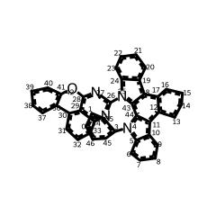 c1ccc(-n2c3ccccc3c3c4ccccc4c4c5ccccc5n(-c5nc6c7c(cccc7n5)-c5ccccc5O6)c4c32)cc1